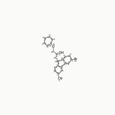 N#Cc1ccc2c(c1)c1cc(Br)ccc1n2CC(O)COc1ccccc1